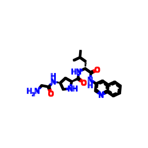 CC(C)C[C@@H](NC(=O)[C@@H]1C[C@@H](NC(=O)CN)CN1)C(=O)Nc1cnc2ccccc2c1